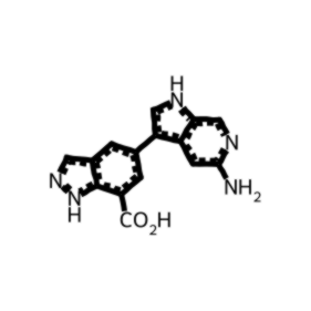 Nc1cc2c(-c3cc(C(=O)O)c4[nH]ncc4c3)c[nH]c2cn1